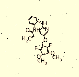 C=CC(=O)Nc1ccccc1Nc1ccc(OCc2c(F)c(OC)cc(OC)c2F)cn1